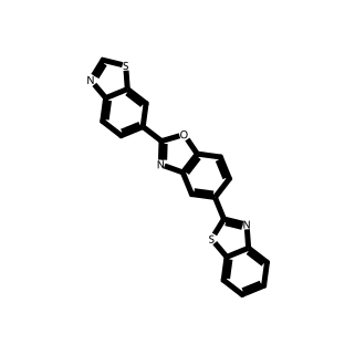 c1ccc2sc(-c3ccc4oc(-c5ccc6ncsc6c5)nc4c3)nc2c1